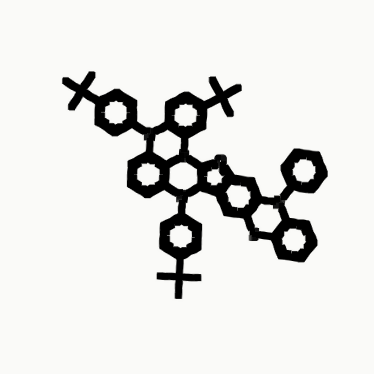 CC(C)(C)c1ccc(N2c3ccc(C(C)(C)C)cc3B3c4oc5cc6c(cc5c4N(c4ccc(C(C)(C)C)cc4)c4cccc2c43)Sc2ccccc2N6c2ccccc2)cc1